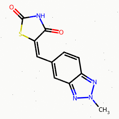 Cn1nc2ccc(C=C3SC(=O)NC3=O)cc2n1